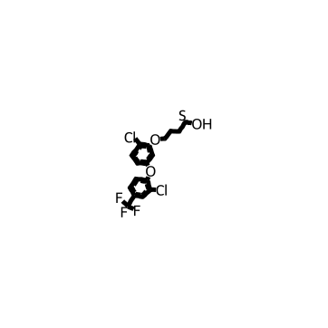 OC(=S)CCCOc1cc(Oc2ccc(C(F)(F)F)cc2Cl)ccc1Cl